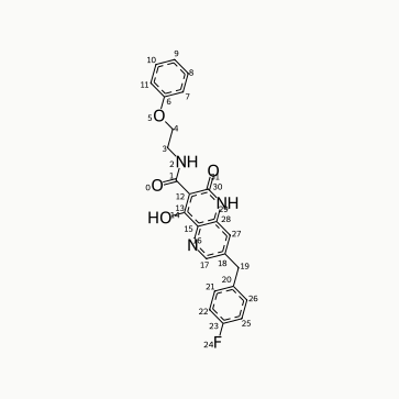 O=C(NCCOc1ccccc1)c1c(O)c2ncc(Cc3ccc(F)cc3)cc2[nH]c1=O